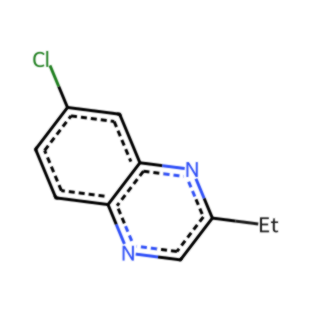 CCc1cnc2ccc(Cl)cc2n1